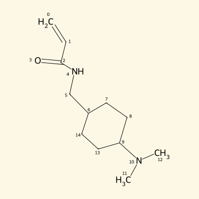 C=CC(=O)NCC1CCC(N(C)C)CC1